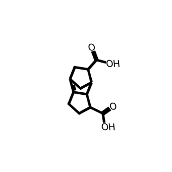 O=C(O)C1CC2=C3CCC(C(=O)O)C3C1C2